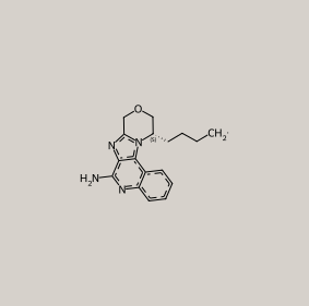 [CH2]CCC[C@H]1COCc2nc3c(N)nc4ccccc4c3n21